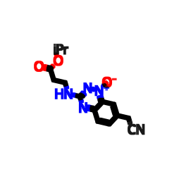 CC(C)OC(=O)CCNc1nc2ccc(CC#N)cc2[n+]([O-])n1